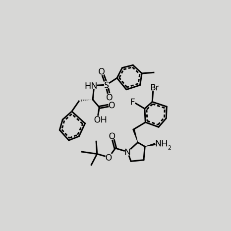 CC(C)(C)OC(=O)N1CC[C@H](N)[C@@H]1Cc1cccc(Br)c1F.Cc1ccc(S(=O)(=O)N[C@@H](Cc2ccccc2)C(=O)O)cc1